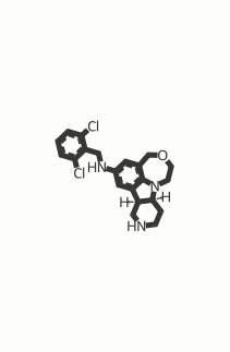 Clc1cccc(Cl)c1CNc1cc2c3c(c1)[C@@H]1CNCC[C@@H]1N3CCOC2